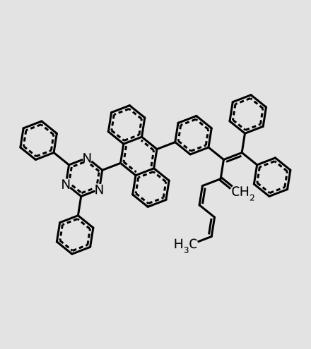 C=C(/C=C\C=C/C)C(=C(c1ccccc1)c1ccccc1)c1cccc(-c2c3ccccc3c(-c3nc(-c4ccccc4)nc(-c4ccccc4)n3)c3ccccc23)c1